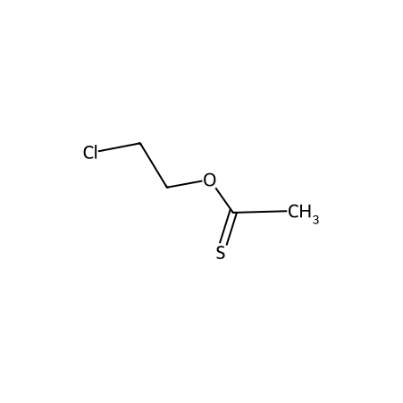 CC(=S)OCCCl